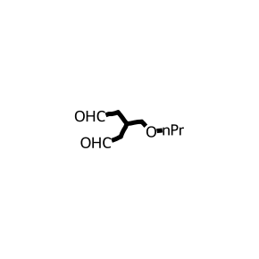 CCCOCC(CC=O)CC=O